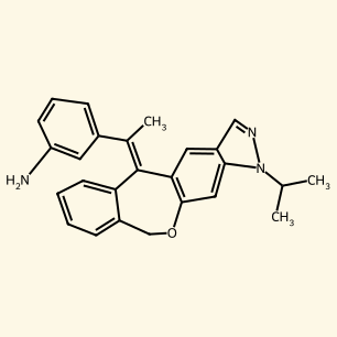 CC(=C1c2ccccc2COc2cc3c(cnn3C(C)C)cc21)c1cccc(N)c1